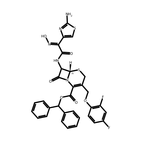 Nc1nc(C(=NO)C(=O)NC2C(=O)N3C(C(=O)OC(c4ccccc4)c4ccccc4)=C(COc4ccc(F)cc4F)CS[C@@H]23)cs1